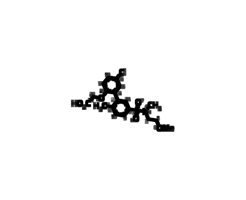 COCCN(C)S(=O)(=O)c1ccc(C)c(-c2cc(Cl)ccc2OCC(=O)O)c1